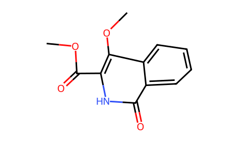 COC(=O)c1[nH]c(=O)c2ccccc2c1OC